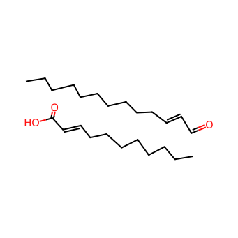 CCCCCCCCC=CC(=O)O.CCCCCCCCCCC=CC=O